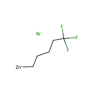 FC(F)(F)CCC[CH2][Zn+].[Br-]